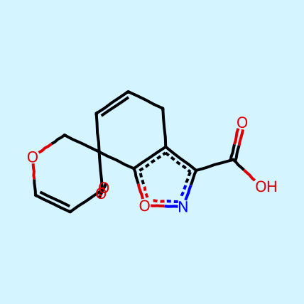 O=C(O)c1noc2c1CC=CC21COC=CC12OCCO2